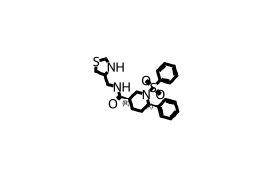 O=C(NCC1CSCN1)[C@@H]1CC[C@H](c2ccccc2)N(S(=O)(=O)c2ccccc2)C1